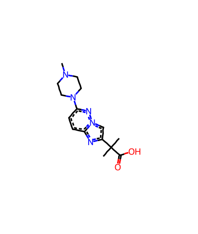 CN1CCN(c2ccc3nc(C(C)(C)C(=O)O)cn3n2)CC1